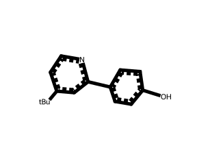 CC(C)(C)c1ccnc(-c2ccc(O)cc2)c1